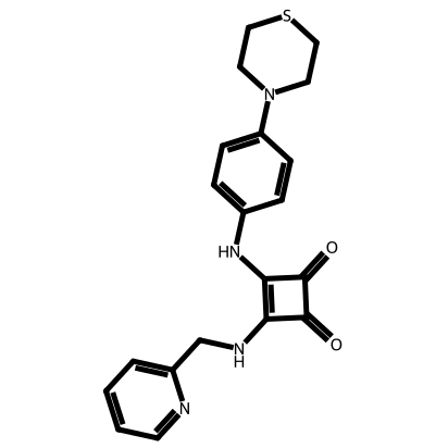 O=c1c(NCc2ccccn2)c(Nc2ccc(N3CCSCC3)cc2)c1=O